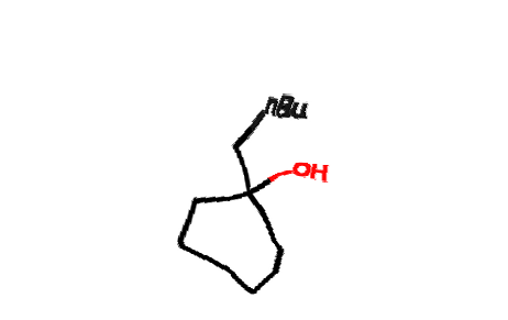 CCCCCC1(O)CCCC1